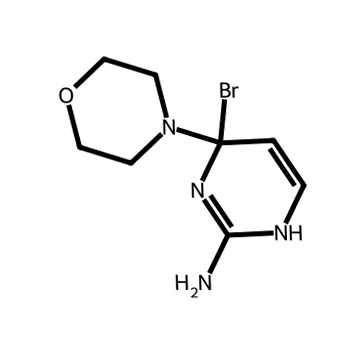 NC1=NC(Br)(N2CCOCC2)C=CN1